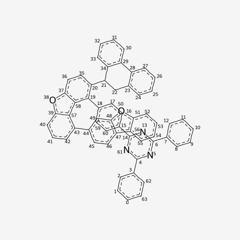 c1ccc(-c2nc(-c3ccccc3)nc(-c3ccc(-c4c(C5Cc6ccccc6-c6ccccc65)ccc5oc6cccc(-c7ccc8c(c7)oc7ccccc78)c6c45)cc3)n2)cc1